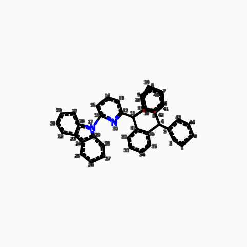 c1ccc(C23c4ccccc4C(c4cccc(-n5c6ccccc6c6ccccc65)n4)(c4ccccc42)c2ccccc23)cc1